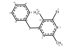 CCc1nc(C)nc(Cc2ccncc2)c1C